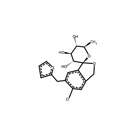 C[C@H]1O[C@]2(OCc3cc(Cl)c(Cc4cc[c]s4)cc32)[C@H](O)[C@@H](O)[C@@H]1O